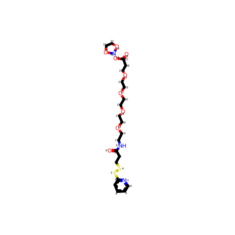 O=C(CCSSc1ccccn1)NCCOCCOCCOCCOCCC(=O)ON1OCCO1